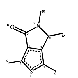 Cc1sc(C)c2c1C(=O)N(C)C2C